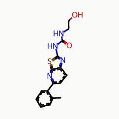 Cc1ccccc1-c1ccc2nc(NC(=O)NCCO)sc2n1